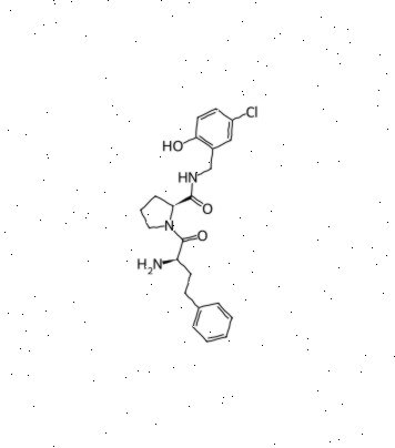 N[C@H](CCc1ccccc1)C(=O)N1CCC[C@H]1C(=O)NCc1cc(Cl)ccc1O